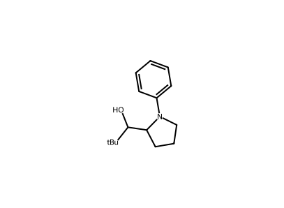 CC(C)(C)C(O)C1CCCN1c1ccccc1